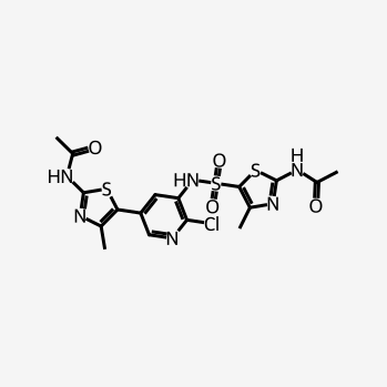 CC(=O)Nc1nc(C)c(-c2cnc(Cl)c(NS(=O)(=O)c3sc(NC(C)=O)nc3C)c2)s1